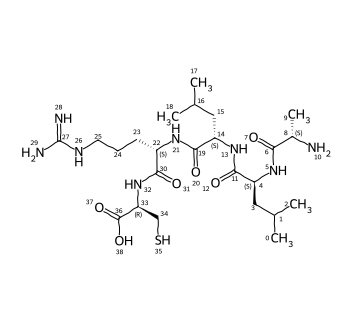 CC(C)C[C@H](NC(=O)[C@H](C)N)C(=O)N[C@@H](CC(C)C)C(=O)N[C@@H](CCCNC(=N)N)C(=O)N[C@@H](CS)C(=O)O